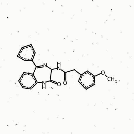 COc1cccc(CC(=O)NC2N=C(c3ccccc3)c3ccccc3NC2=O)c1